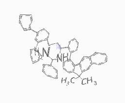 CC1(C)c2cc3ccccc3cc2-c2c(-c3ccccc3/C(=C/Cc3ccc(-c4ccccc4)cc3-c3ccccc3)NC(N)c3ccccc3)cccc21